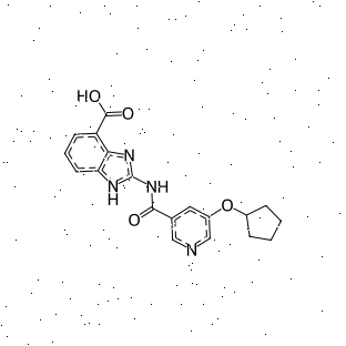 O=C(Nc1nc2c(C(=O)O)cccc2[nH]1)c1cncc(OC2CCCC2)c1